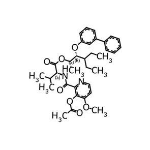 CCC(CC)[C@@H](Oc1cccc(-c2ccccc2)c1)[C@H](C)OC(=O)[C@@H](NC(=O)c1nccc(OC)c1OC(C)=O)C(C)C